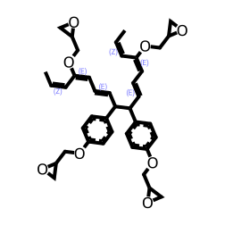 C\C=C/C(=C\C=C\C(c1ccc(OCC2CO2)cc1)C(/C=C/C=C(\C=C/C)OCC1CO1)c1ccc(OCC2CO2)cc1)OCC1CO1